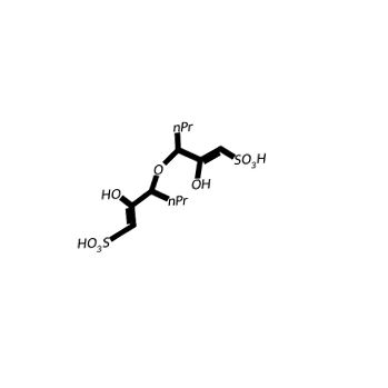 CCCC(OC(CCC)C(O)=CS(=O)(=O)O)C(O)=CS(=O)(=O)O